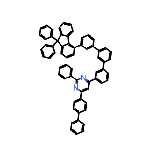 c1ccc(-c2ccc(-c3cc(-c4cccc(-c5cccc(-c6cccc(-c7cccc8c7-c7ccccc7C8(c7ccccc7)c7ccccc7)c6)c5)c4)nc(-c4ccccc4)n3)cc2)cc1